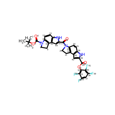 CC(C)(C)OC(=O)N1CCc2c1ccc1[nH]c(C(=O)N3CCc4c3ccc3[nH]c(C(=O)Oc5c(F)c(F)cc(F)c5F)cc43)cc21